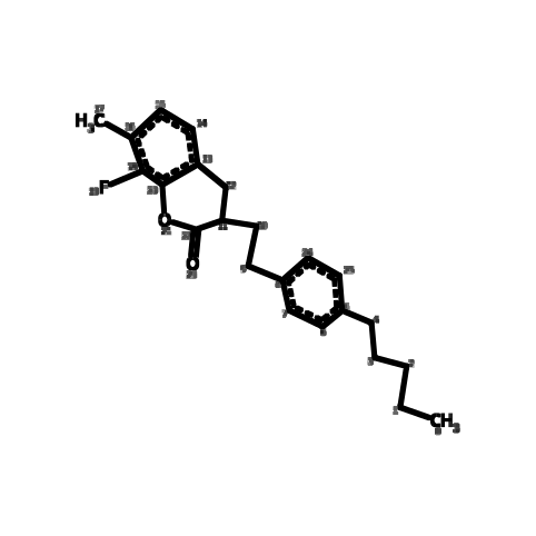 CCCCCc1ccc(CCC2Cc3ccc(C)c(F)c3OC2=O)cc1